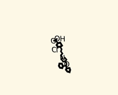 O=C(O)c1ccc(CCCCN2CCC(OC(c3ccccc3)c3ccccc3)CC2)c(Cl)c1